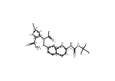 CC(=O)N(Cc1ccc2ccc(NC(=O)OC(C)(C)C)nc2c1)c1cn(C)nc1C(N)=O